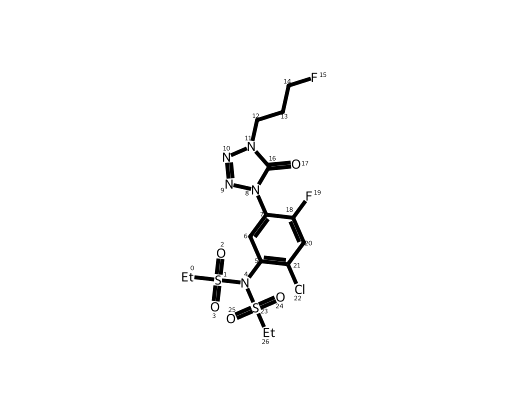 CCS(=O)(=O)N(c1cc(-n2nnn(CCCF)c2=O)c(F)cc1Cl)S(=O)(=O)CC